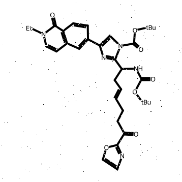 CCn1ccc2cc(-c3cn(C(=O)OC(C)(C)C)c(C(CC=CCCC(=O)c4ncco4)NC(=O)OC(C)(C)C)n3)ccc2c1=O